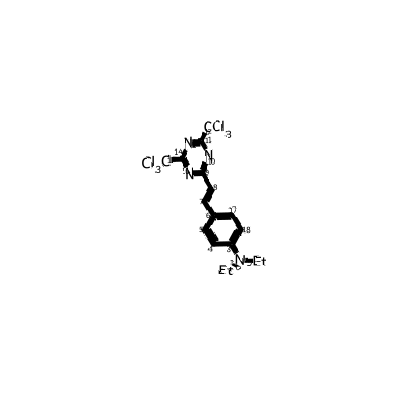 CCN(CC)c1ccc(/C=C/c2nc(C(Cl)(Cl)Cl)nc(C(Cl)(Cl)Cl)n2)cc1